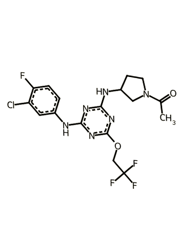 CC(=O)N1CCC(Nc2nc(Nc3ccc(F)c(Cl)c3)nc(OCC(F)(F)F)n2)C1